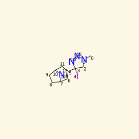 CN1CC(I)(C2=CC3CCC(C2)N3C)N=N1